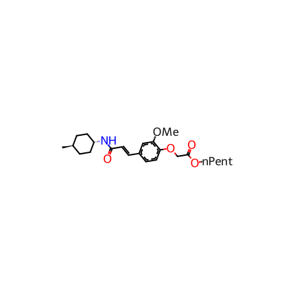 CCCCCOC(=O)COc1ccc(C=CC(=O)N[C@H]2CC[C@H](C)CC2)cc1OC